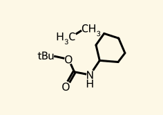 CC.CC(C)(C)OC(=O)NC1CCCCC1